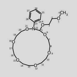 COCCOC1OCCOCCOCCOCCOCCON1c1ccccc1